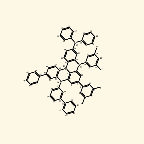 Cc1cc(C)cc(-c2cc3c4c(c2)N(c2cc(C)cc(C)c2)c2cc(N(c5ccccc5)c5ccccc5)ccc2B4c2ccc(-c4ccccc4)cc2N3c2cccc(-c3ccccc3)c2)c1